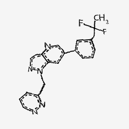 CC(F)(F)c1cccc(-c2cnc3cnn(Cc4cccnn4)c3c2)c1